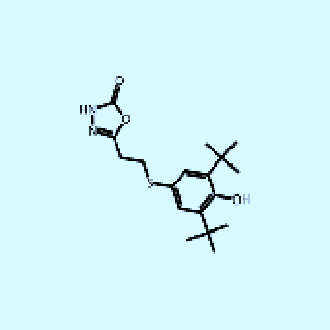 CC(C)(C)c1cc(SCCc2n[nH]c(=O)o2)cc(C(C)(C)C)c1O